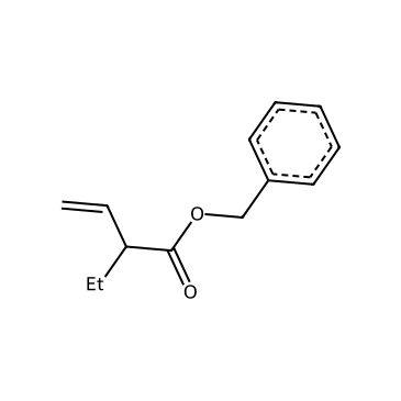 C=CC(CC)C(=O)OCc1ccccc1